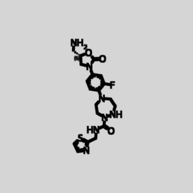 NC[C@H]1CN(c2ccc(N3CCNN(C(=O)NCc4nccs4)CC3)c(F)c2)C(=O)O1